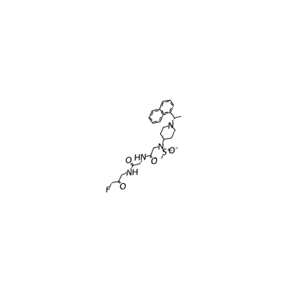 CC(c1cccc2ccccc12)N1CCC(N(CC(=O)NCC(=O)NCC(=O)CF)[S+](C)[O-])CC1